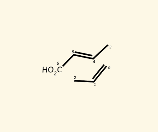 C=CC.CC=CC(=O)O